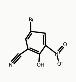 N#Cc1cc(Br)cc([N+](=O)[O-])c1O